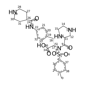 Cc1ccc(S(=O)(=O)N(C(=O)C2CNCCN2)[C@@H](Cc2ccc(NC(=O)C3CCNCC3)cc2)C(=O)O)cc1